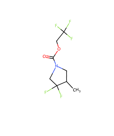 CC1CN(C(=O)OCC(F)(F)F)CC1(F)F